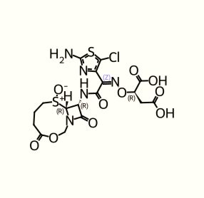 Nc1nc(/C(=N/O[C@H](CC(=O)O)C(=O)O)C(=O)N[C@@H]2C(=O)N3COC(=O)CCC[S+]([O-])[C@H]23)c(Cl)s1